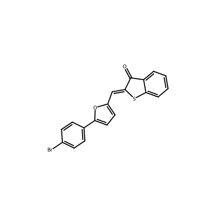 O=C1C(=Cc2ccc(-c3ccc(Br)cc3)o2)Sc2ccccc21